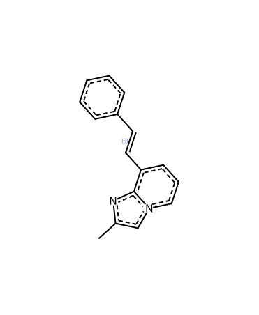 Cc1cn2cccc(/C=C/c3ccccc3)c2n1